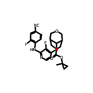 [C-]#[N+]c1ccc(Nc2nccc(OC3C4COCC3CN(C(=O)OC3(C)CC3)C4)c2F)c(F)c1